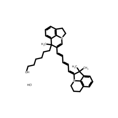 CC1(CCCCCCO)C(/C=C/C=C/C=C2/N3CCCc4cccc(c43)C2(C)C)=CN2CCc3cccc1c32.Cl